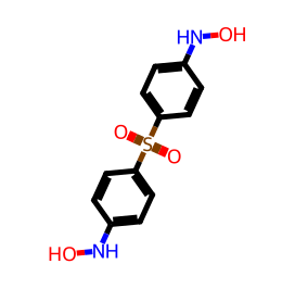 O=S(=O)(c1ccc(NO)cc1)c1ccc(NO)cc1